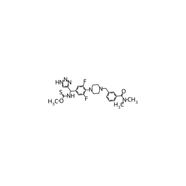 COC(=S)NC(c1cc(F)c(N2CCN(Cc3cccc(C(=O)N(C)C)c3)CC2)c(F)c1)c1c[nH]nn1